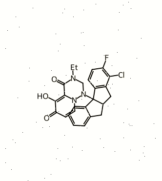 CCN1CN(C23c4ccccc4CC2Cc2c3ccc(F)c2Cl)n2ccc(=O)c(O)c2C1=O